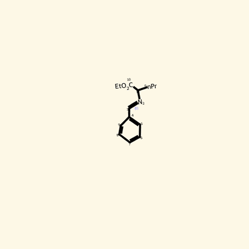 CCCC(/N=C/c1ccccc1)C(=O)OCC